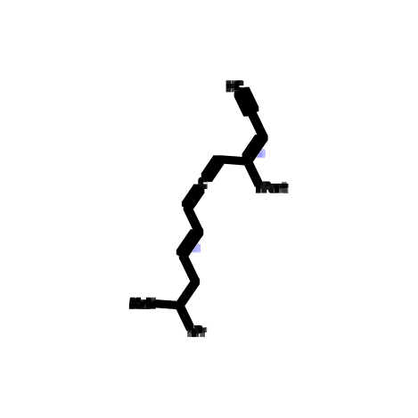 C#C/C=C(\C=C=C/C=C/CC(CCC)NC)CCCCC